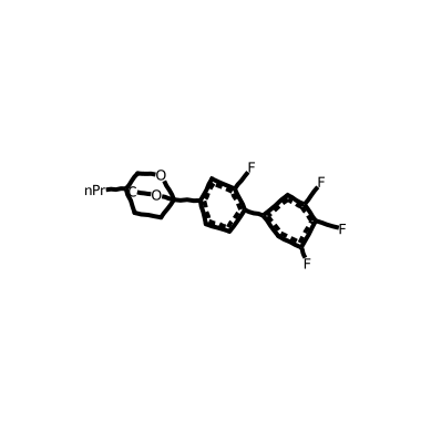 CCCC12CCC(c3ccc(-c4cc(F)c(F)c(F)c4)c(F)c3)(OC1)OC2